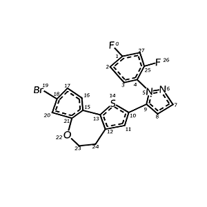 Fc1ccc(-n2nccc2-c2cc3c(s2)-c2ccc(Br)cc2OCC3)c(F)c1